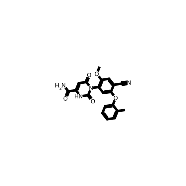 COc1cc(C#N)c(Oc2ccccc2C)cc1-n1c(=O)cc(C(N)=O)[nH]c1=O